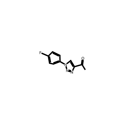 CC(=O)c1cn(-c2ccc(F)cc2)nn1